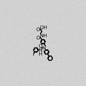 O=C(O)CCNC(=O)c1ccc(CN(C(=O)Nc2cccc(I)c2)c2ccc(C3=CCCCC3)cc2)cc1